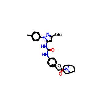 Cc1ccc(-n2nc(C(C)(C)C)cc2NC(=O)Nc2ccc(CC3CC4CCC(C3)N4C(=O)OCC(C)C)cc2)cc1